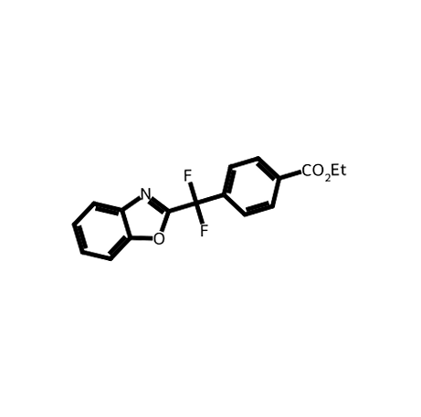 CCOC(=O)c1ccc(C(F)(F)c2nc3ccccc3o2)cc1